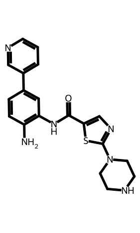 Nc1ccc(-c2cccnc2)cc1NC(=O)c1cnc(N2CCNCC2)s1